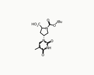 Cc1cn([C@@H]2CC(C(=O)O)N(C(=O)OC(C)(C)C)C2)c(=O)[nH]c1=O